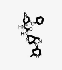 Cc1cc(-n2ncc3cc(NC(=O)N[C@H]4CN(C)C[C@@H]4Oc4ccccc4)ncc32)ccn1